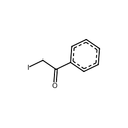 O=C([CH]I)c1ccccc1